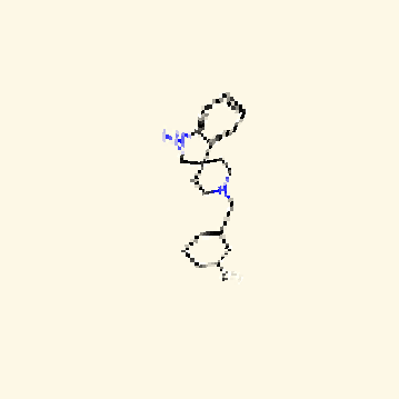 CC1CCCC(CN2CCC3(CC2)CNc2ccccc23)C1